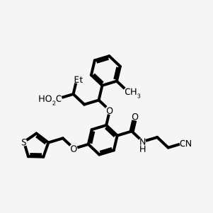 CCC(CC(Oc1cc(OCc2ccsc2)ccc1C(=O)NCCC#N)c1ccccc1C)C(=O)O